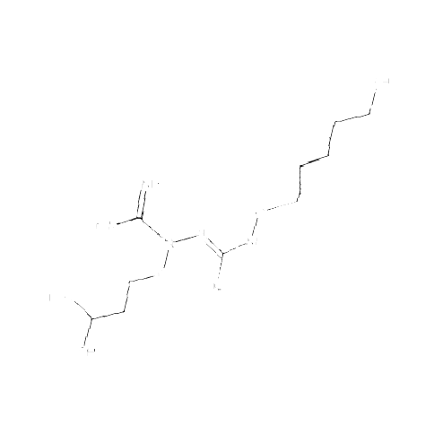 CCCCCCONC(N)=NN(OCCC(C)C)C(=N)N